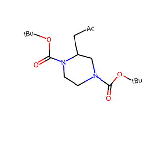 CC(=O)CC1CN(C(=O)OC(C)(C)C)CCN1C(=O)OC(C)(C)C